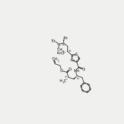 C=CCOC(=O)[C@@H](C)C[C@H](Cc1ccccc1)NC(=O)c1csc([C@@H](C[C@H](C(C)C)N(C)CC)OC(C)=O)n1